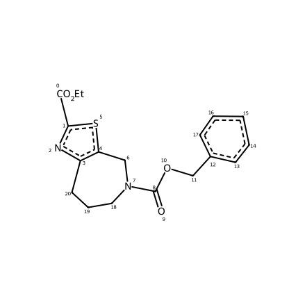 CCOC(=O)c1nc2c(s1)CN(C(=O)OCc1ccccc1)CCC2